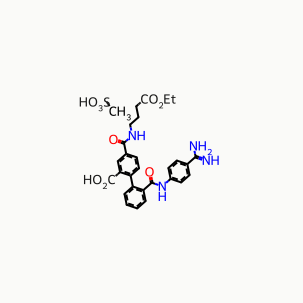 CCOC(=O)CCCNC(=O)c1ccc(-c2ccccc2C(=O)Nc2ccc(C(=N)N)cc2)c(C(=O)O)c1.CS(=O)(=O)O